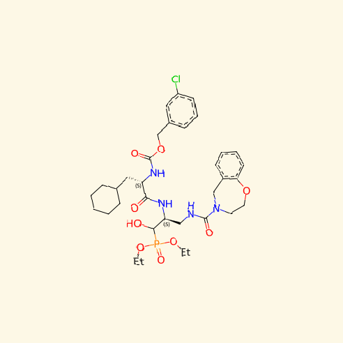 CCOP(=O)(OCC)C(O)[C@H](CNC(=O)N1CCOc2ccccc2C1)NC(=O)[C@H](CC1CCCCC1)NC(=O)OCc1cccc(Cl)c1